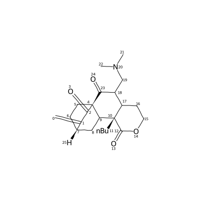 C=C1C(=O)[C@]23CC[C@H]1CC2[C@@]1(CCCC)C(=O)OCCC1C(CN(C)C)C3=O